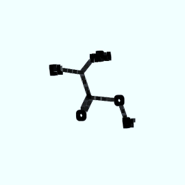 CCCCC(CC)C(=O)OBr